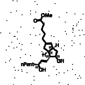 CCCCC[C@H](O)C=C[C@@H]1[C@H]2CC(CCCCC(=O)OC)=C[C@H]2C[C@H]1O